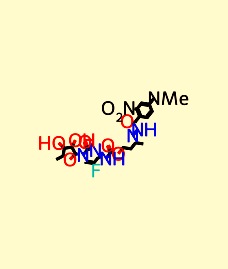 CNc1ccc(C(=O)N/N=C(\C)CCOC(=O)Nc2nc(=O)n(C3OC(C)C(O)C3O)cc2F)c([N+](=O)[O-])c1